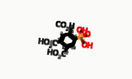 O=C(O)c1cc(C(=O)O)c(P(=O)(O)O)cc1C(=O)O